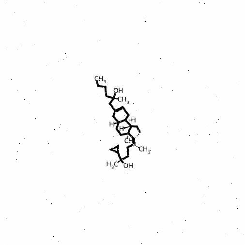 CCCC[C@](C)(O)CC1=CC[C@@H]2[C@H](CC[C@]3(C)[C@@H]([C@H](C)CC[C@](C)(O)C4CC4)CC[C@@H]23)C1